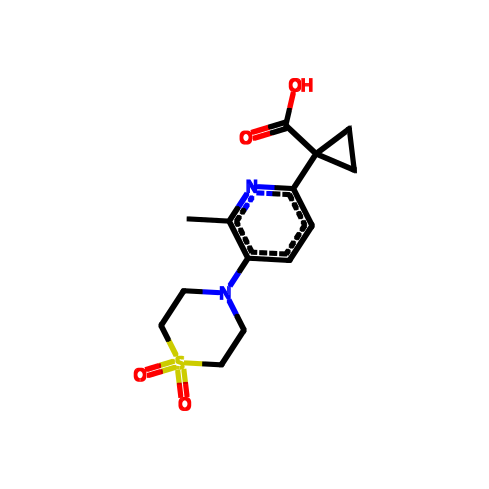 Cc1nc(C2(C(=O)O)CC2)ccc1N1CCS(=O)(=O)CC1